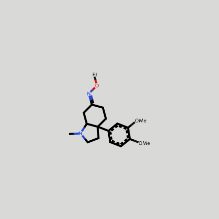 CCO/N=C1\CCC2(c3ccc(OC)c(OC)c3)CCN(C)C2C1